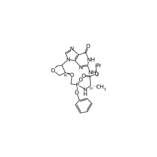 CC(C)OC(=O)[C@H](C)NP(=O)(CO[C@H]1COCC1n1cnc2c(=O)[nH]c(N)nc21)Oc1ccccc1